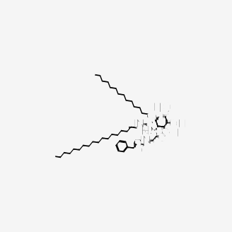 CCCCCCCCCCCCCCCCCCNC(=O)N(CCCCCCCCCCCCCC)[C@@H]1O[C@H](CO)[C@@H](O)[C@H](O)[C@H]1NC(=O)[C@H](C)NC(=O)OCc1ccccc1